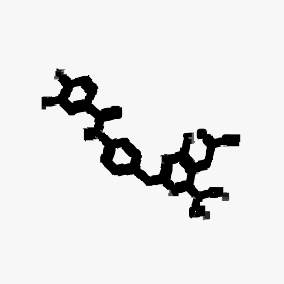 CN(C)c1nc(Cc2ccc(NC(=O)c3ccc(F)c(F)c3)cc2)nc(Cl)c1CC(=O)O